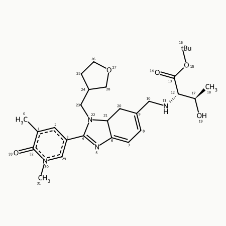 Cc1cc(C2=NC3=CC=C(CN[C@H](C(=O)OC(C)(C)C)[C@@H](C)O)CC3N2CC2CCOC2)cn(C)c1=O